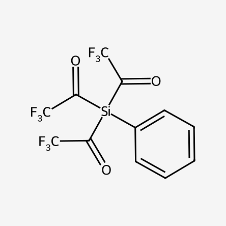 O=C(C(F)(F)F)[Si](C(=O)C(F)(F)F)(C(=O)C(F)(F)F)c1ccccc1